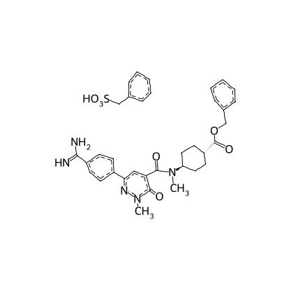 Cn1nc(-c2ccc(C(=N)N)cc2)cc(C(=O)N(C)[C@H]2CC[C@H](C(=O)OCc3ccccc3)CC2)c1=O.O=S(=O)(O)Cc1ccccc1